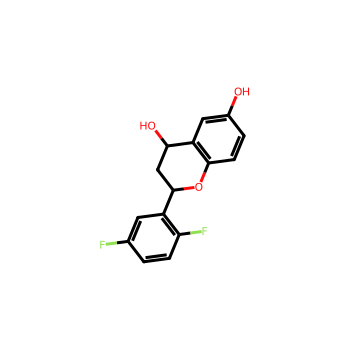 Oc1ccc2c(c1)C(O)CC(c1cc(F)ccc1F)O2